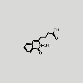 Cn1c(CCCC(=O)O)cc2ccccc2c1=O